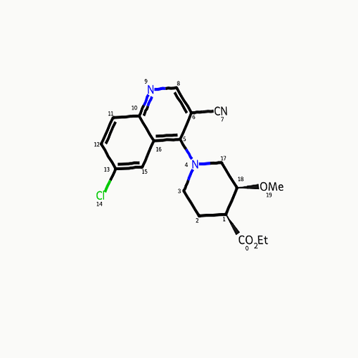 CCOC(=O)[C@H]1CCN(c2c(C#N)cnc3ccc(Cl)cc23)C[C@H]1OC